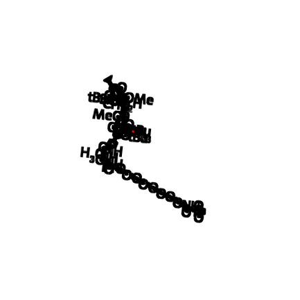 COc1cc2c(cc1OCCCOc1cc3c(cc1OC)C(=O)N1C=C(c4ccc(NC(=O)[C@H](C)NC(=O)[C@@H](NC(=O)CCOCCOCCOCCOCCOCCOCCOCCOCCNC(=O)CCN5C(=O)C=CC5=O)C(C)C)cc4)CC1[C@H](O[Si](C)(C)C(C)(C)C)N3C(=O)OC(C)(C)C)N(C(=O)O)[C@@H](O[Si](C)(C)C(C)(C)C)C1CC(C3CC3)=CN1C2=O